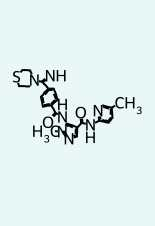 Cc1ccc(NC(=O)c2cnn(C)c2NC(=O)c2ccc(C(=N)N3CCSCC3)cc2)nc1